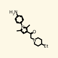 CCC1CCN(CC(=O)c2cc(C)n(-c3ccc(N)cc3)c2C)CC1